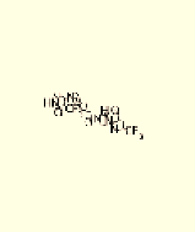 O=C(CCOC[C@@H]1CCN1c1cn[nH]c(=O)c1C(F)(F)F)N1CCN2c3ncc(C(F)(F)F)cc3COC[C@H]2C1